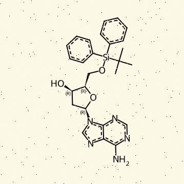 CC(C)(C)[Si](OC[C@H]1O[C@@H](n2cnc3c(N)ncnc32)C[C@H]1O)(c1ccccc1)c1ccccc1